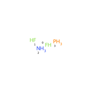 F.F.N.P